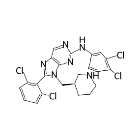 Clc1ccc(Nc2ncc3nc(-c4c(Cl)cccc4Cl)n(C[C@@H]4CCCNC4)c3n2)cc1Cl